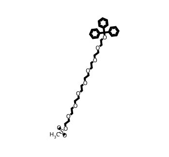 CS(=O)(=O)OCCOCCOCCOCCOCCOCCOCCOCCOC(c1ccccc1)(c1ccccc1)c1ccccc1